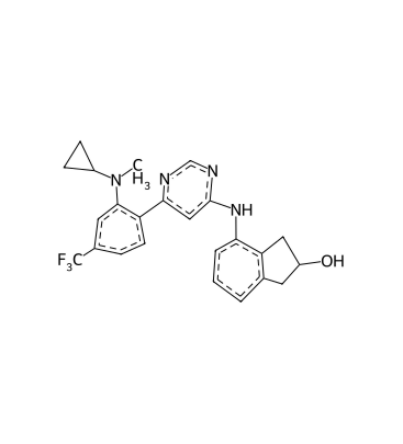 CN(c1cc(C(F)(F)F)ccc1-c1cc(Nc2cccc3c2CC(O)C3)ncn1)C1CC1